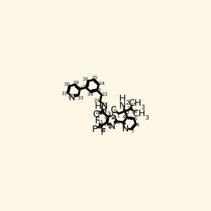 CCC(N)(c1cccnc1-c1nc(C(F)(F)F)c(C(=O)NCCc2cccc(-c3cccnc3)c2)s1)C(C)C